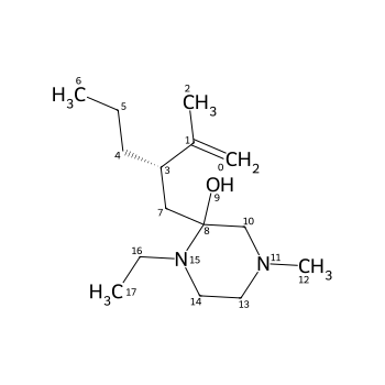 C=C(C)[C@@H](CCC)CC1(O)CN(C)CCN1CC